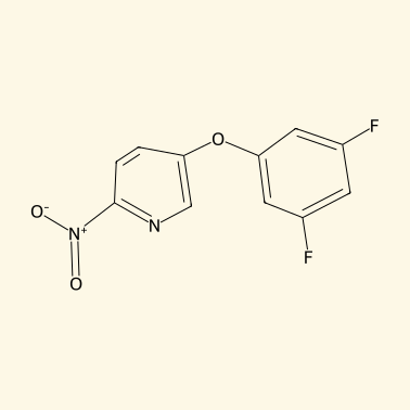 O=[N+]([O-])c1ccc(Oc2cc(F)cc(F)c2)cn1